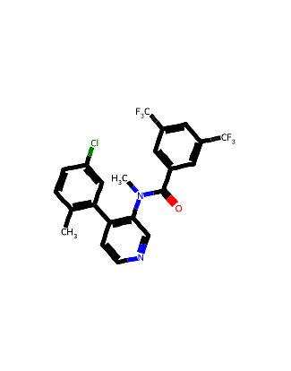 Cc1ccc(Cl)cc1-c1ccncc1N(C)C(=O)c1cc(C(F)(F)F)cc(C(F)(F)F)c1